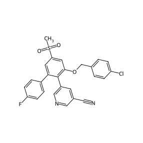 CS(=O)(=O)c1cc(OCc2ccc(Cl)cc2)c(-c2cncc(C#N)c2)c(-c2ccc(F)cc2)c1